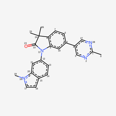 Cc1ncc(-c2ccc3c(c2)N(c2ccc4ccn(C)c4c2)C(=O)C3(C)C)cn1